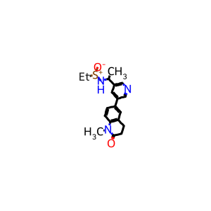 CC[S+]([O-])NC(C)c1cncc(-c2ccc3c(c2)CCC(=O)N3C)c1